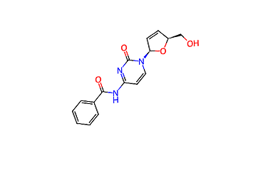 O=C(Nc1ccn([C@H]2C=C[C@@H](CO)O2)c(=O)n1)c1ccccc1